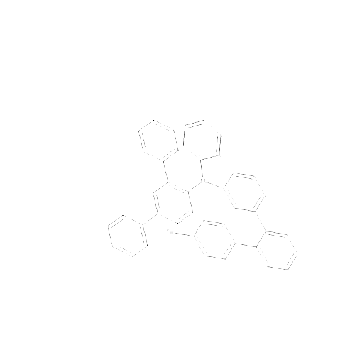 Brc1ccc(-c2ccccc2-c2ccc3c4ccccc4n(-c4ccc(-c5ccccc5)cc4-c4ccccc4)c3c2)cc1